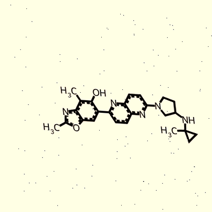 Cc1nc2c(C)c(O)c(-c3ccc4nc(N5CCC(NC6(C)CC6)C5)ccc4n3)cc2o1